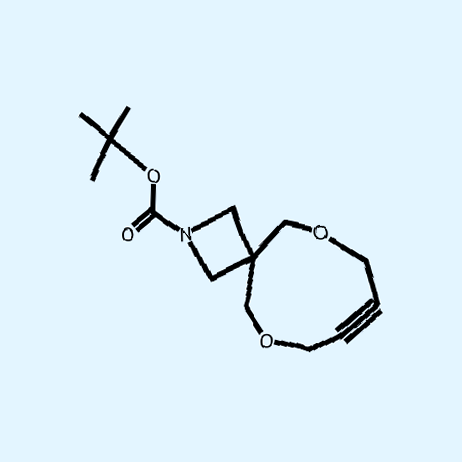 CC(C)(C)OC(=O)N1CC2(COCC#CCOC2)C1